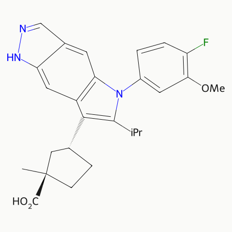 COc1cc(-n2c(C(C)C)c([C@@H]3CC[C@@](C)(C(=O)O)C3)c3cc4[nH]ncc4cc32)ccc1F